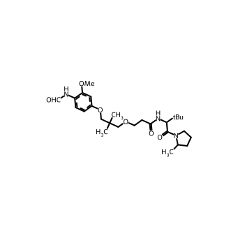 COc1cc(OCC(C)(C)COCCC(=O)NC(C(=O)N2CCCC2C)C(C)(C)C)ccc1NC=O